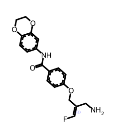 NC/C(=C/F)COc1ccc(C(=O)Nc2ccc3c(c2)OCCO3)cc1